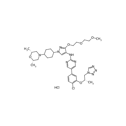 COCCOCCOc1nn(C2CCC(N3C[C@@H](C)O[C@@H](C)C3)CC2)cc1Nc1ncc(-c2ccc(Cl)c(O[C@@H](C)Cn3cnnn3)c2)cn1.Cl